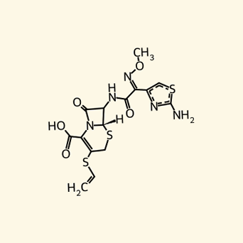 C=CSC1=C(C(=O)O)N2C(=O)C(NC(=O)C(=NOC)c3csc(N)n3)[C@@H]2SC1